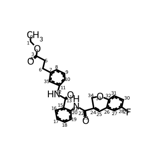 CCOC(=O)CCc1cccc(NC(=O)c2ccccc2NC(=O)C2=Cc3cc(F)ccc3OC2)c1